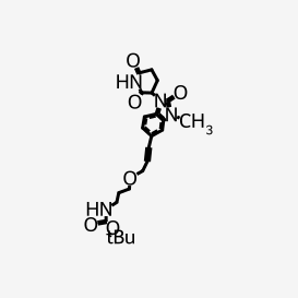 Cn1c(=O)n(C2CCC(=O)NC2=O)c2ccc(C#CCOCCCNC(=O)OC(C)(C)C)cc21